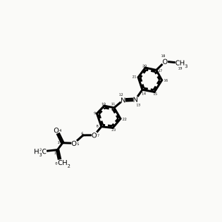 C=C(C)C(=O)OCOc1ccc(N=Nc2ccc(OC)cc2)cc1